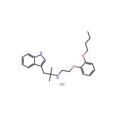 CCCCOc1ccccc1OCCNC(C)(C)Cc1c[nH]c2ccccc12.Cl